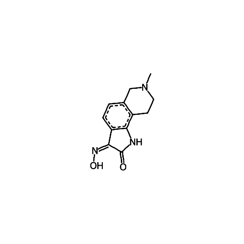 CN1CCc2c(ccc3c2NC(=O)/C3=N\O)C1